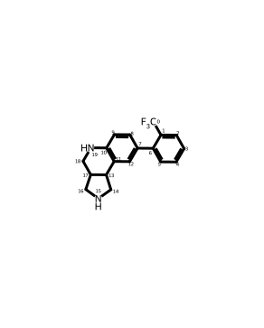 FC(F)(F)c1ccccc1-c1ccc2c(c1)C1CNCC1CN2